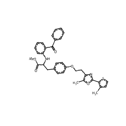 COC(=O)C(Cc1ccc(OCCc2nc(-c3sccc3C)oc2C)cc1)Nc1ccccc1C(=O)c1ccccc1